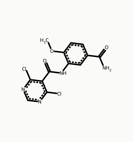 COc1ccc(C(N)=O)cc1NC(=O)c1c(Cl)ncnc1Cl